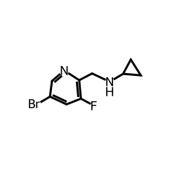 Fc1cc(Br)cnc1CNC1CC1